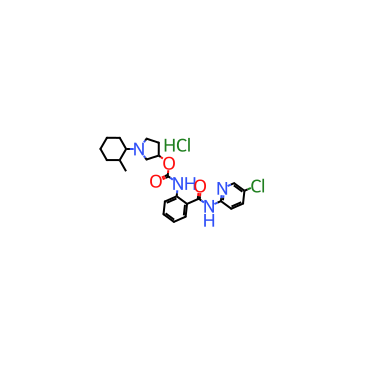 CC1CCCCC1N1CCC(OC(=O)Nc2ccccc2C(=O)Nc2ccc(Cl)cn2)C1.Cl